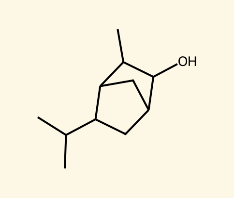 CC(C)C1CC2CC1C(C)C2O